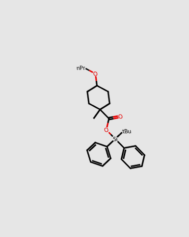 CCCOC1CCC(C)(C(=O)O[Si](c2ccccc2)(c2ccccc2)C(C)(C)C)CC1